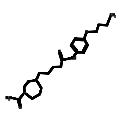 CCCCOc1ccc(NC(=O)CCCCN2CCCN(C(C)=O)CC2)cc1